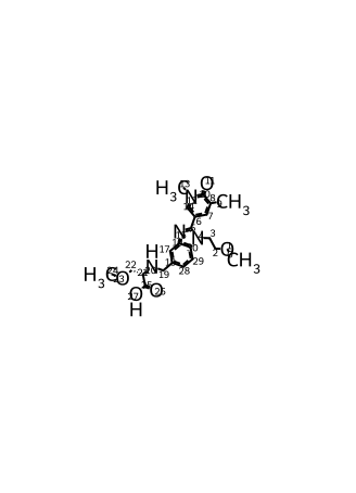 COCCn1c(-c2cc(C)c(=O)n(C)c2)nc2cc(CN[C@@H](COC)C(=O)O)ccc21